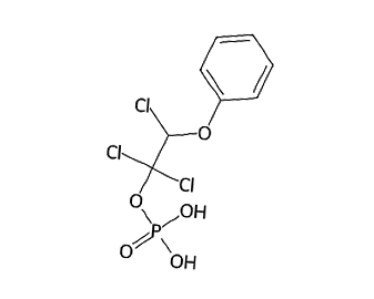 O=P(O)(O)OC(Cl)(Cl)C(Cl)Oc1ccccc1